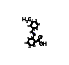 Cc1cccc(/C=C/c2ccccc2C(=O)O)c1